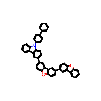 c1ccc(-c2ccc(-n3c4ccccc4c4cc(-c5ccc6oc7ccc(-c8ccc9oc%10ccccc%10c9c8)cc7c6c5)ccc43)cc2)cc1